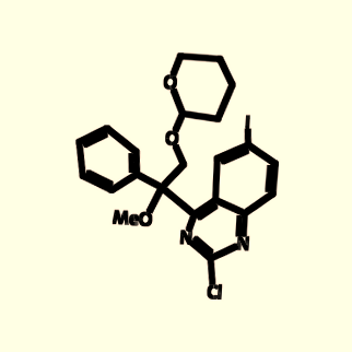 COC(COC1CCCCO1)(c1ccccc1)c1nc(Cl)nc2ccc(I)cc12